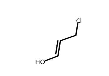 OC=CCCl